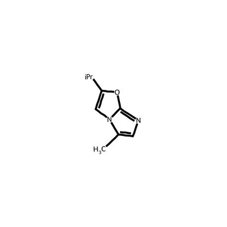 Cc1cnc2oc(C(C)C)cn12